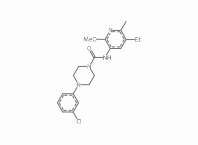 CCc1cc(NC(=O)N2CCN(c3cccc(Cl)c3)CC2)c(OC)nc1C